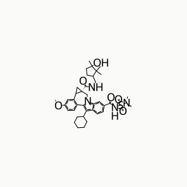 COc1ccc2c(c1)C1C[C@@]1(C(=O)N[C@@H](C)C1CCC(C)(O)C1(C)C)Cn1c-2c(C2CCCCC2)c2ccc(C(=O)NS(=O)(=O)N(C)C)cc21